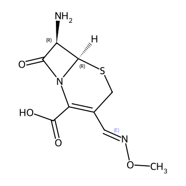 CO/N=C/C1=C(C(=O)O)N2C(=O)[C@@H](N)[C@H]2SC1